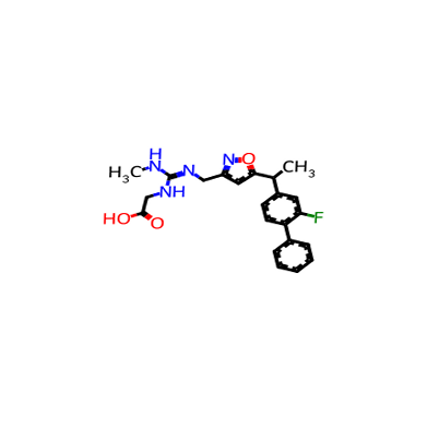 CNC(=NCc1cc(C(C)c2ccc(-c3ccccc3)c(F)c2)on1)NCC(=O)O